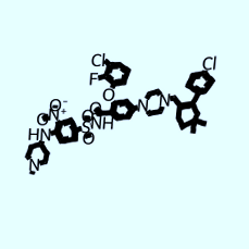 CN1CCC(Nc2ccc(S(=O)(=O)NC(=O)c3ccc(N4CCN(CC5=C(c6ccc(Cl)cc6)CC(C)(C)CC5)CC4)cc3Oc3cccc(Cl)c3F)cc2[N+](=O)[O-])CC1